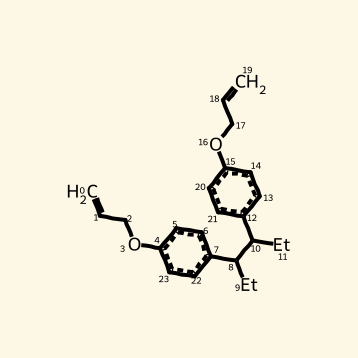 C=CCOc1ccc(C(CC)C(CC)c2ccc(OCC=C)cc2)cc1